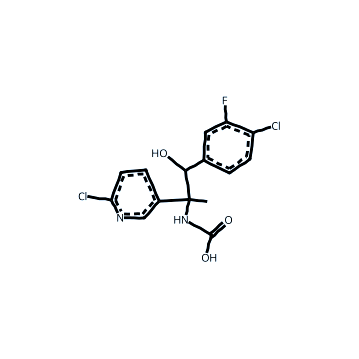 CC(NC(=O)O)(c1ccc(Cl)nc1)C(O)c1ccc(Cl)c(F)c1